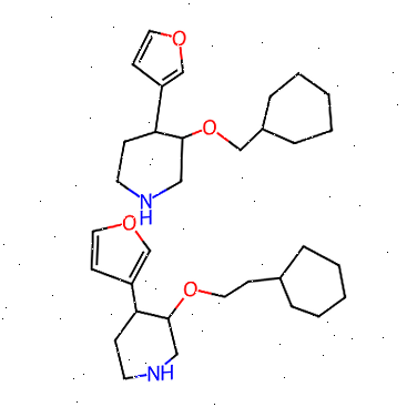 c1cc(C2CCNCC2OCC2CCCCC2)co1.c1cc(C2CCNCC2OCCC2CCCCC2)co1